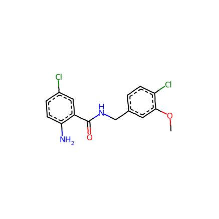 COc1cc(CNC(=O)c2cc(Cl)ccc2N)ccc1Cl